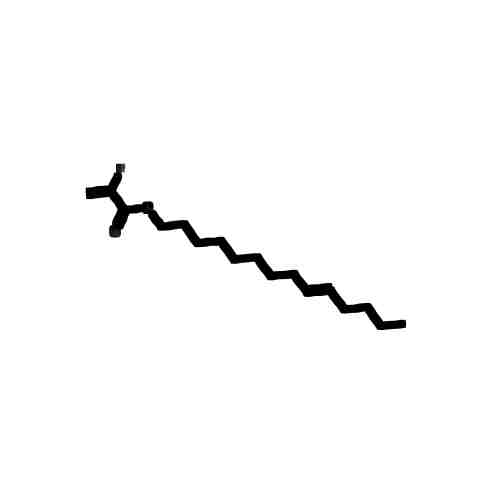 C=C(F)C(=O)OCCCCCCCCC=CCCCC